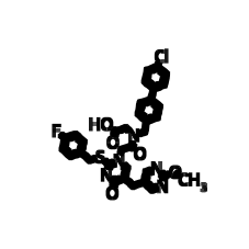 COc1ncc(Cc2cn(CC(=O)N(CC(=O)O)Cc3ccc(-c4ccc(Cl)cc4)cc3)c(SCc3ccc(F)cc3)nc2=O)cn1